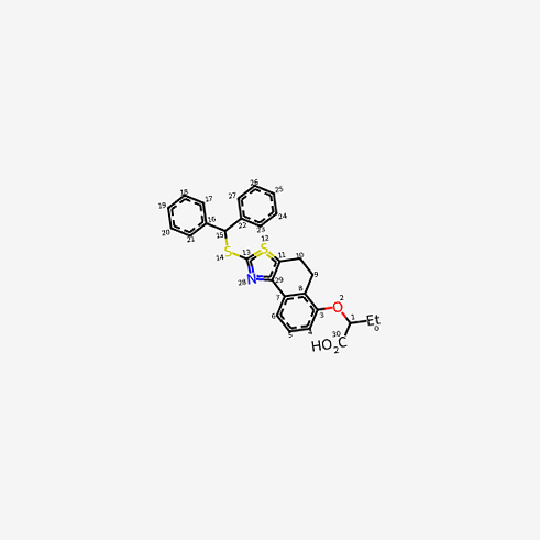 CCC(Oc1cccc2c1CCc1sc(SC(c3ccccc3)c3ccccc3)nc1-2)C(=O)O